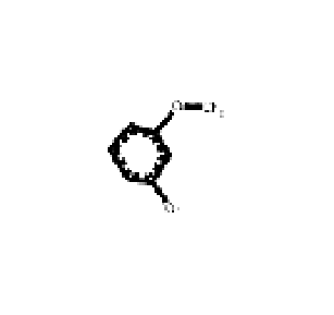 [O]c1cccc(OC(F)(F)F)c1